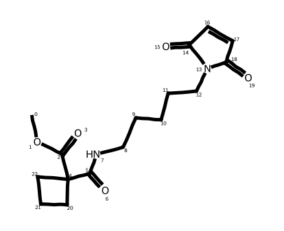 COC(=O)C1(C(=O)NCCCCCN2C(=O)C=CC2=O)CCC1